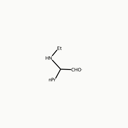 CCCC([C]=O)NCC